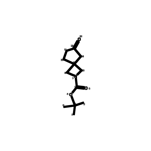 CC(C)(C)OC(=O)N1CC2(CCC(=O)C2)C1